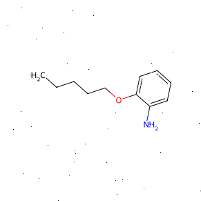 [CH2]CCCCOc1ccccc1N